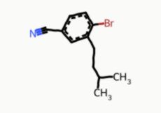 CC(C)CCc1cc(C#N)ccc1Br